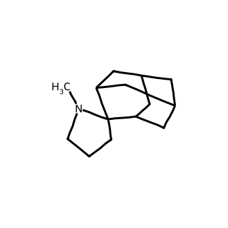 CN1CCCC12C1CC3CC(C1)CC2C3